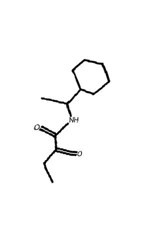 CCC(=O)C(=O)NC(C)C1CCCCC1